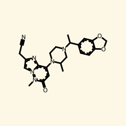 CC(c1ccc2c(c1)OCO2)N1CCN(c2cc(=O)n(C)n3cc(CC#N)nc23)C(C)C1